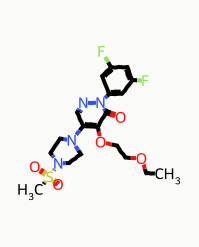 CCOCCOc1c(N2CCN(S(C)(=O)=O)CC2)cnn(-c2cc(F)cc(F)c2)c1=O